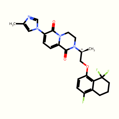 Cc1cn(-c2ccc3n(c2=O)CCN([C@@H](C)COc2ccc(F)c4c2C(F)(F)CCC4)C3=O)cn1